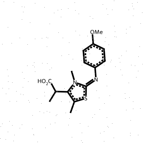 COc1ccc(N=c2sc(C)c(C(C)C(=O)O)n2C)cc1